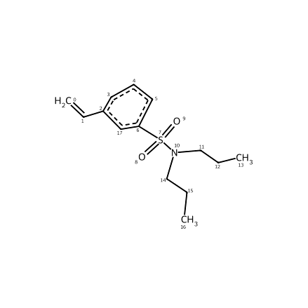 C=Cc1cccc(S(=O)(=O)N(CCC)CCC)c1